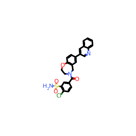 NS(=O)(=O)c1cc(C(=O)N2CCOc3ccc(-c4cnc5ccccc5c4)cc3C2)ccc1Cl